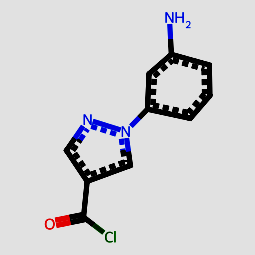 Nc1cccc(-n2cc(C(=O)Cl)cn2)c1